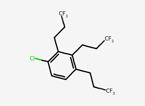 FC(F)(F)CCc1ccc(Cl)c(CCC(F)(F)F)c1CCC(F)(F)F